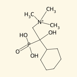 C[N+](C)(C)CC(O)(C1CCCCC1)P(=O)(O)O